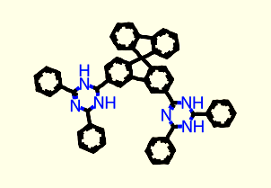 c1ccc(C2=NC(c3ccccc3)NC(c3ccc4c(c3)-c3cc(C5=NC(c6ccccc6)NC(c6ccccc6)N5)ccc3C43c4ccccc4-c4ccccc43)N2)cc1